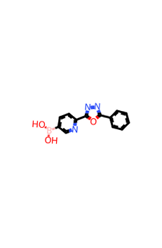 OB(O)c1ccc(-c2nnc(-c3ccccc3)o2)nc1